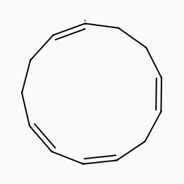 [C]1=CCCC=CC=CCC=CCC1